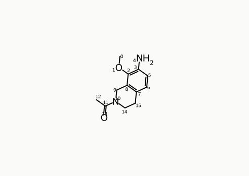 COc1c(N)ccc2c1CN(C(C)=O)CC2